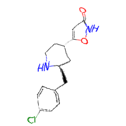 O=c1cc([C@H]2CCN[C@H](Cc3ccc(Cl)cc3)C2)o[nH]1